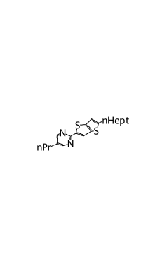 CCCCCCCc1cc2sc(-c3ncc(CCC)cn3)cc2s1